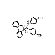 O=P1(C(Nc2ccc(O)cc2)c2ccc(O)cc2)Oc2ccccc2-c2ccccc21